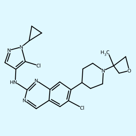 CC1(N2CCC(c3cc4nc(Nc5cnn(C6CC6)c5Cl)ncc4cc3Cl)CC2)COC1